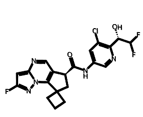 O=C(Nc1cnc([C@H](O)C(F)F)c(Cl)c1)[C@H]1CC2(CCC2)c2c1cnc1cc(F)nn21